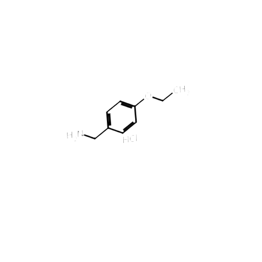 CCOc1ccc(CN)cc1.Cl